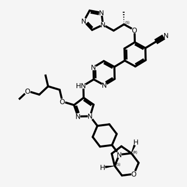 COCC(C)COc1nn(C2CCC(N3[C@@H]4CC[C@H]3COC4)CC2)cc1Nc1ncc(-c2ccc(C#N)c(O[C@@H](C)Cn3cncn3)c2)cn1